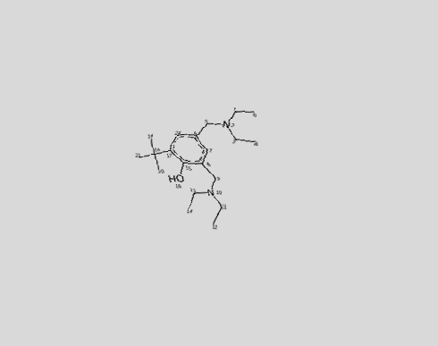 CCN(CC)Cc1cc(CN(CC)CC)c(O)c(C(C)(C)C)c1